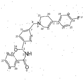 O=C1NC(c2ccc(CN3CC=C(c4ccc(F)cc4)CC3)cc2)Oc2ccccc21